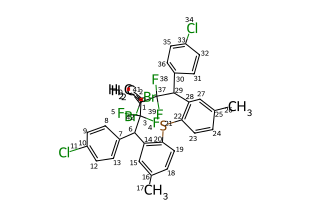 C=C(Br)C(F)(F)C(c1ccc(Cl)cc1)c1cc(C)ccc1Sc1ccc(C)cc1C(c1ccc(Cl)cc1)C(F)(F)C(=C)Br